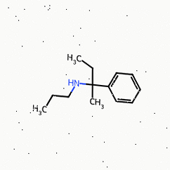 CCCNC(C)(CC)c1ccccc1